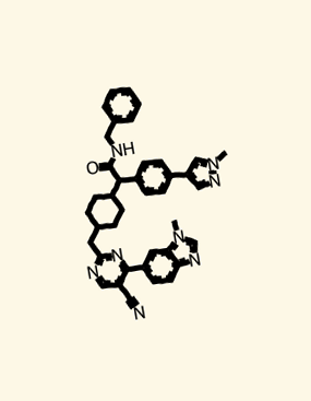 Cn1cc(-c2ccc(C(C(=O)NCc3ccccc3)C3CCC(Cc4ncc(C#N)c(-c5ccc6ncn(C)c6c5)n4)CC3)cc2)cn1